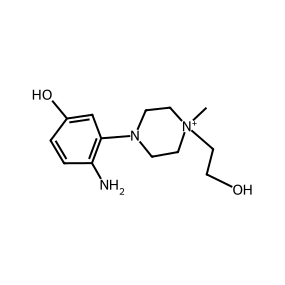 C[N+]1(CCO)CCN(c2cc(O)ccc2N)CC1